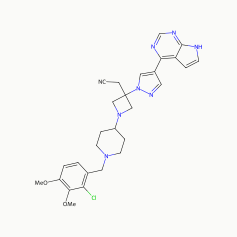 COc1ccc(CN2CCC(N3CC(CC#N)(n4cc(-c5ncnc6[nH]ccc56)cn4)C3)CC2)c(Cl)c1OC